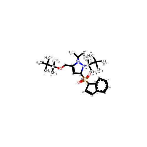 CC(C)N1C(CO[Si](C)(C)C(C)(C)C)=CC(S(=O)(=O)C2C=Cc3ccccc32)N1[Si](C)(C)C(C)(C)C